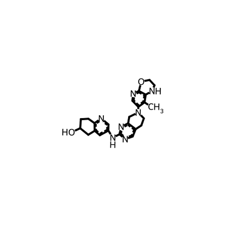 Cc1c(N2CCc3cnc(Nc4cnc5c(c4)CC(O)CC5)nc3C2)cnc2c1NCCO2